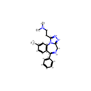 CCN(CC)CCc1nnc2n1-c1cc(C(F)(F)F)ccc1C(c1ccccc1)=NC2